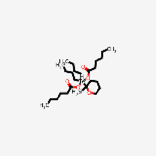 CCCCCC(=O)O[TeH](CCCC)(CCCC)(OC(=O)CCCCC)C1([SiH3])CCCCO1